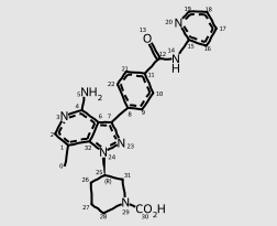 Cc1cnc(N)c2c(-c3ccc(C(=O)Nc4ccccn4)cc3)nn([C@@H]3CCCN(C(=O)O)C3)c12